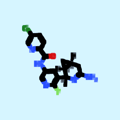 C[C@]1(c2cc(NC(=O)c3ccc(Cl)cn3)cnc2F)N=C(N)C[C@@H]2C[C@@H]21